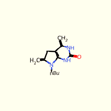 C=C1NC(=O)NC2=C1CC(=C)N2CCCC